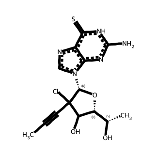 CC#CC1(Cl)C(O)[C@@H]([C@H](C)O)O[C@H]1n1cnc2c(=S)[nH]c(N)nc21